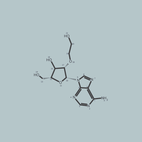 Nc1ncnc2c1ncn2[C@@H]1O[C@H](CO)C(O)[C@@H]1OCCO